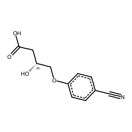 N#Cc1ccc(OC[C@H](O)CC(=O)O)cc1